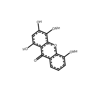 COc1cccc2c(=O)c3c(O)cc(O)c(OC)c3oc12